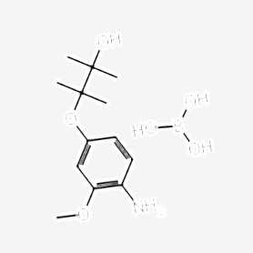 COc1cc(OC(C)(C)C(C)(C)O)ccc1N.OB(O)O